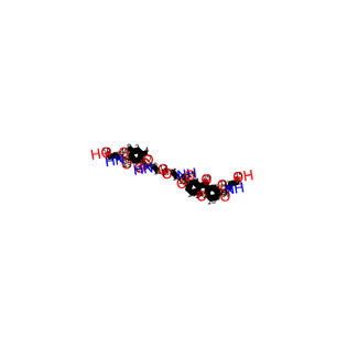 Cc1cc(C)c(S(=O)(=O)NCCOOCCNS(=O)(=O)c2ccc3oc4ccc(S(=O)(=O)NCCO)cc4c(=O)c3c2)cc1S(=O)(=O)NCCO